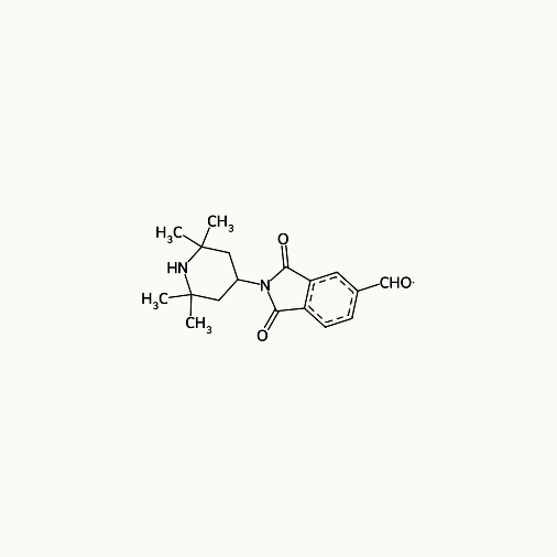 CC1(C)CC(N2C(=O)c3ccc([C]=O)cc3C2=O)CC(C)(C)N1